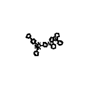 c1ccc(-c2ccc(-c3nc(-c4ccccc4)nc(-c4ccc(-n5c6ccccc6c6c5ccc5c7ccccc7n(-c7ccccc7)c56)cc4)n3)cc2)cc1